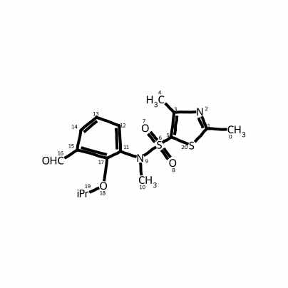 Cc1nc(C)c(S(=O)(=O)N(C)c2cccc(C=O)c2OC(C)C)s1